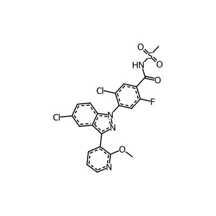 COc1ncccc1-c1nn(-c2cc(F)c(C(=O)NS(C)(=O)=O)cc2Cl)c2ccc(Cl)cc12